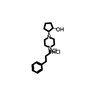 Cl.Cl.O[C@H]1CCC[C@@H]1N1CCN(CCCc2ccccc2)CC1